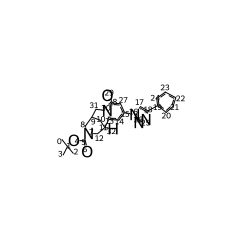 CC(C)(C)OC(=O)N1CC2C[C@@H](C1)c1cc(-n3cc(-c4ccccc4)nn3)cc(=O)n1C2